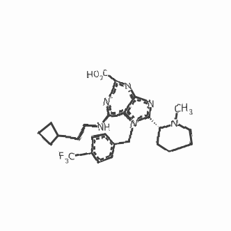 CN1CCCC[C@@H]1c1nc2nc(C(=O)O)nc(NCCC3CCC3)c2n1Cc1ccc(C(F)(F)F)cc1